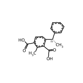 Cc1c(C(=O)O)ccc([C@@H](C)c2ccccc2)c1C(=O)O